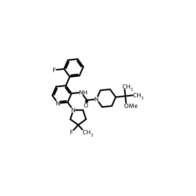 COC(C)(C)C1CCN(C(=O)Nc2c(-c3ccccc3F)ccnc2N2CCC(C)(F)C2)CC1